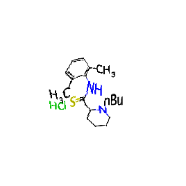 CCCCN1CCCCC1C(=S)Nc1c(C)cccc1C.Cl